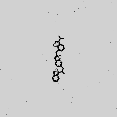 CC(C)c1coc2c(Cc3cc4ccc(CC(C)c5occ6ccccc56)cc4o3)cccc12